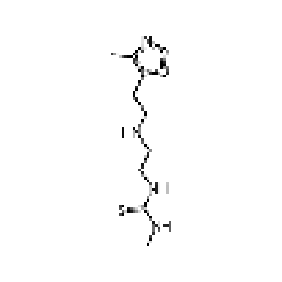 CNC(=S)NCCNCCc1ocnc1C